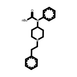 CCCCC(=O)N(c1ccccc1)C1CCN(CCc2ccccc2)CC1